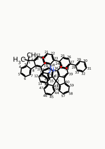 CC1(C)c2ccccc2-c2c(-c3ccccc3N(c3ccccc3-c3ccc(-c4ccccc4)cc3)c3cccc4c3C3(c5ccccc5-c5ccccc53)c3ccccc3-4)cccc21